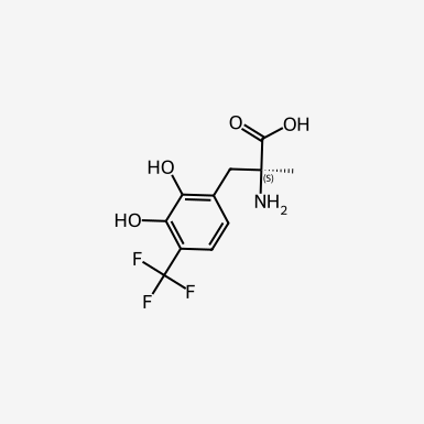 C[C@](N)(Cc1ccc(C(F)(F)F)c(O)c1O)C(=O)O